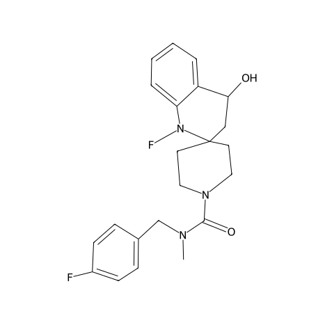 CN(Cc1ccc(F)cc1)C(=O)N1CCC2(CC1)CC(O)c1ccccc1N2F